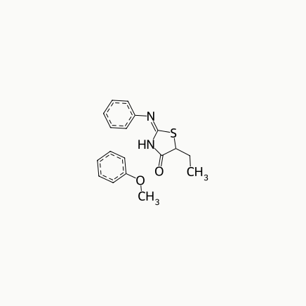 CCC1SC(=Nc2ccccc2)NC1=O.COc1ccccc1